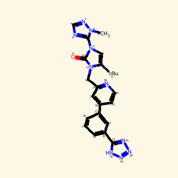 CCCCc1cn(-c2ncnn2C)c(=O)n1Cc1cc(-c2cccc(-c3nnn[nH]3)c2)ccn1